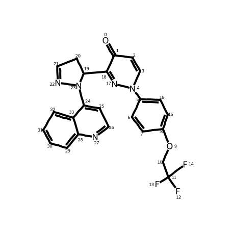 O=c1ccn(-c2ccc(OCC(F)(F)F)cc2)nc1C1CC=NN1c1ccnc2ccccc12